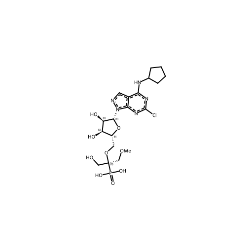 COC[C@](CO)(OC[C@H]1O[C@@H](n2ncc3c(NC4CCCC4)nc(Cl)nc32)[C@H](O)[C@@H]1O)P(=O)(O)O